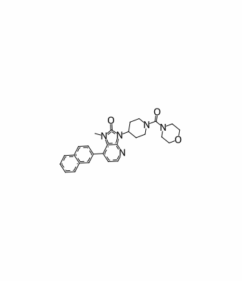 Cn1c(=O)n(C2CCN(C(=O)N3CCOCC3)CC2)c2nccc(-c3ccc4ccccc4c3)c21